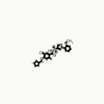 COc1ccccc1-n1cc(S(=O)(=O)NC(=O)c2cc(Cl)c(OCC3CCCC3)cc2F)cn1